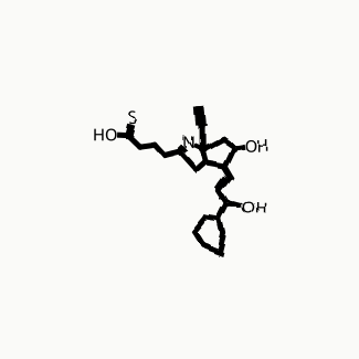 C#CC12CC(O)C(C=CC(O)C3CCCCC3)C1CC(CCCC(O)=S)=N2